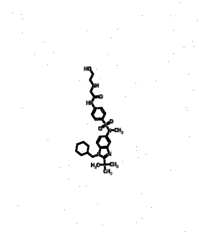 CN(c1ccc2c(c1)nc(C(C)(C)C)n2CC1CCCCC1)S(=O)(=O)c1ccc(NC(=O)CNCCO)cc1